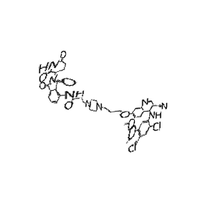 COc1cc(Nc2c(C#N)cnc3cc(OCCCN4CCN(CCC(=O)Nc5cccc6c5C(=O)N(C5CCC(=O)NC5=O)C6=O)CC4)c(OC)cc23)c(Cl)cc1Cl